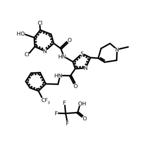 CN1CC=C(c2nc(C(=O)NCc3ccccc3C(F)(F)F)c(NC(=O)c3cc(Cl)c(O)c(Cl)n3)s2)CC1.O=C(O)C(F)(F)F